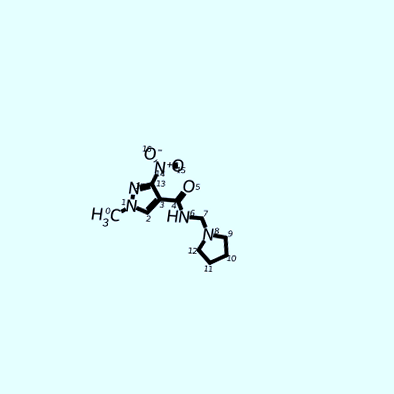 Cn1cc(C(=O)NCN2CCCC2)c([N+](=O)[O-])n1